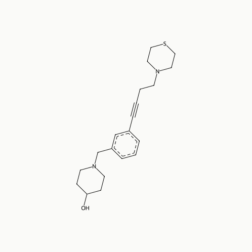 OC1CCN(Cc2cccc(C#CCCN3CCSCC3)c2)CC1